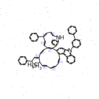 CC1/C=C/C=C\C=C/c2c(ccc3c2c2ccccc2n3-c2cccc(-c3ccccc3)c2)/C2=C(\C=C/C1=C/C(C)c1ccccc1)/C=C/C(c1ccccc1)=C\C=C\Nc1ccccc12